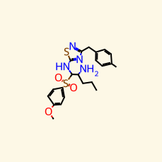 CCCC(N)C(Nc1nc(Cc2ccc(C)cc2)ns1)S(=O)(=O)c1ccc(OC)cc1